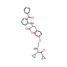 O=C(c1ccccc1)c1ccccc1NC(Cc1ccc(OCCNC(C(=O)C2CC2)C2CC2)cc1)C(=O)O